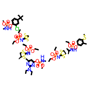 CCN(CC)c1nc(C)cc(OP(=O)(NC)OC)n1.CCOP(=O)(/N=C1\SCC(C)S1)OCC.CCOP(=O)(N=C1SCCS1)OCC.CCOP(=O)(N=C1SCS1)OCC.CCOP(=O)(NC(C)C)Oc1ccc(SC)c(C)c1.CNP(=O)(OC)Oc1ccc(C(C)(C)C)cc1Cl